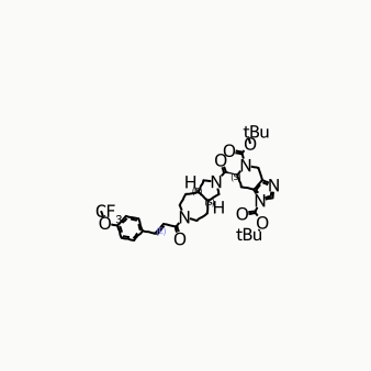 CC(C)(C)OC(=O)N1Cc2ncn(C(=O)OC(C)(C)C)c2C[C@H]1C(=O)N1C[C@H]2CCN(C(=O)/C=C/c3ccc(OC(F)(F)F)cc3)CC[C@H]2C1